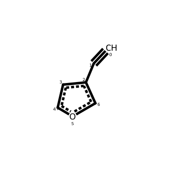 C#Cc1c[c]oc1